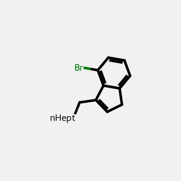 CCCCCCCCC1=CCc2cccc(Br)c21